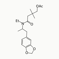 CCN(C(=O)CC(C)(C)COC(C)=O)C(C)Cc1ccc2c(c1)OCO2